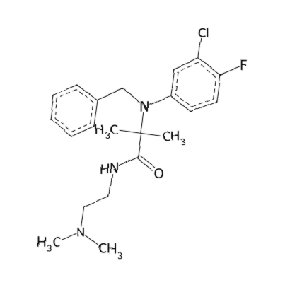 CN(C)CCNC(=O)C(C)(C)N(Cc1ccccc1)c1ccc(F)c(Cl)c1